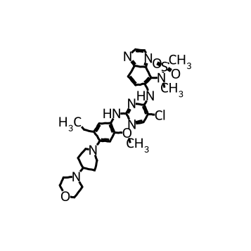 CCc1cc(Nc2ncc(Cl)c(Nc3ccc4nccnc4c3N(C)S(C)(=O)=O)n2)c(OC)cc1N1CCC(N2CCOCC2)CC1